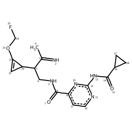 CC(=N)C(CNC(=O)c1ccnc(NC(=O)C2CC2)n1)C1C=C1OCF